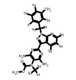 [2H]c1nc2c(c(-c3nc(N)c(N(C(=O)OC)C([2H])([2H])[2H])c(N)n3)nn2C([2H])([2H])c2c([2H])c(C)c([2H])c([2H])c2F)c([2H])c1[2H]